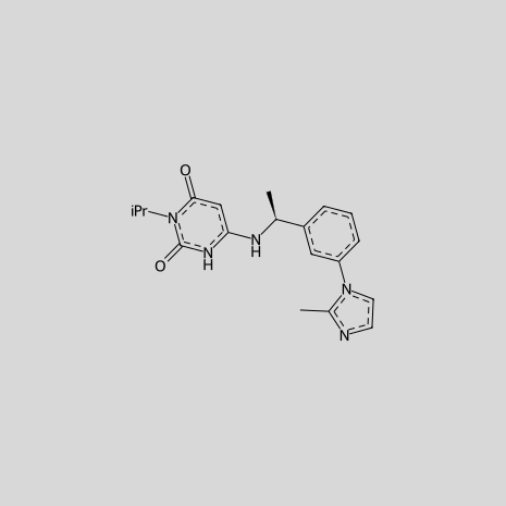 Cc1nccn1-c1cccc([C@H](C)Nc2cc(=O)n(C(C)C)c(=O)[nH]2)c1